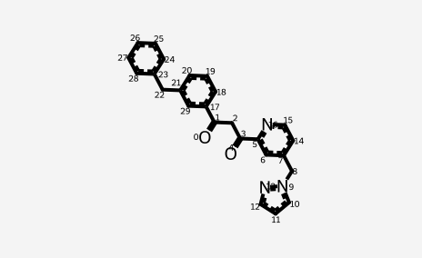 O=C(CC(=O)c1cc(Cn2cccn2)ccn1)c1cccc(Cc2ccccc2)c1